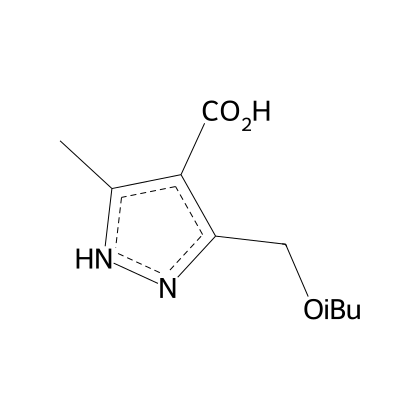 Cc1[nH]nc(COCC(C)C)c1C(=O)O